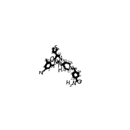 Cc1cc(C#N)cc(C)c1Oc1nc(NC2CCN(Cc3ccc(C(N)=O)cc3)CC2)ncc1-c1ccsc1